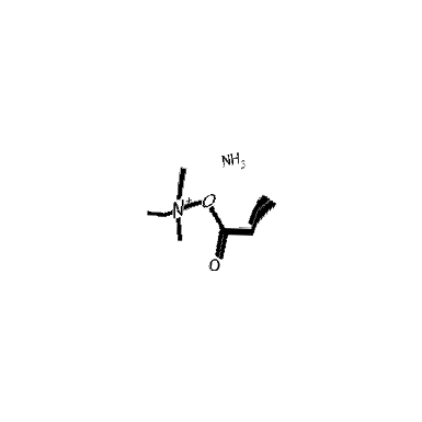 C=CC(=O)O[N+](C)(C)C.N